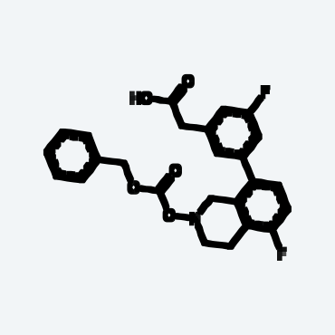 O=C(O)Cc1cc(F)cc(-c2ccc(F)c3c2CN(OC(=O)OCc2ccccc2)CC3)c1